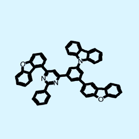 c1ccc(-c2nc(-c3cc(-c4ccc5oc6ccccc6c5c4)cc(-n4c5ccccc5c5ccccc54)c3)cc(-c3cccc4oc5ccccc5c34)n2)cc1